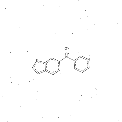 [O-][NH+](c1cccnc1)c1ccc2ccsc2c1